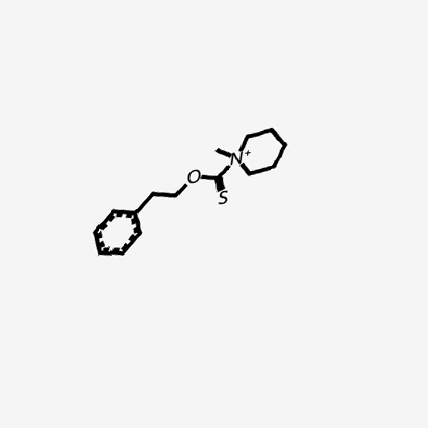 C[N+]1(C(=S)OCCc2ccccc2)CCCCC1